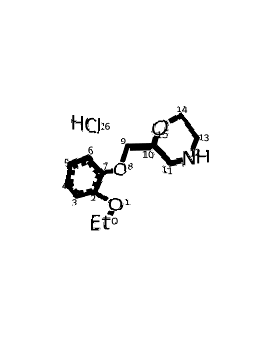 CCOc1ccccc1OC=C1CNCCO1.Cl